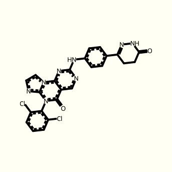 O=C1CCC(c2ccc(Nc3ncc4c(=O)n(-c5c(Cl)cccc5Cl)c5nccn5c4n3)cc2)=NN1